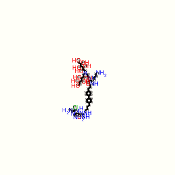 N=C(NCCCCc1ccc(-c2ccc(CCC(=O)N[C@@H](CCCCN)C(=O)NCCN(C[C@H](O)[C@@H](O)[C@H](O)[C@H](O)CO)C[C@H](O)[C@@H](O)[C@H](O)[C@H](O)CO)cc2)cc1)NC(=O)c1nc(Cl)c(N)nc1N